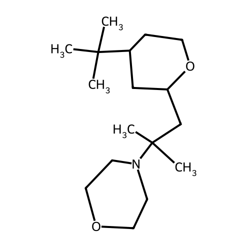 CC(C)(C)C1CCOC(CC(C)(C)N2CCOCC2)C1